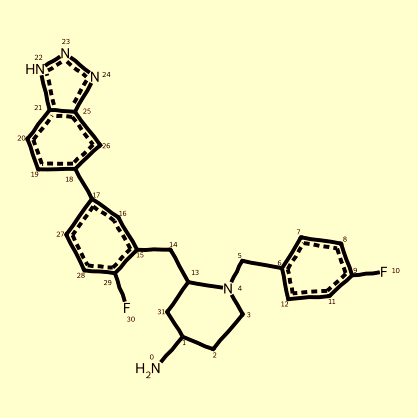 NC1CCN(Cc2ccc(F)cc2)C(Cc2cc(-c3ccc4[nH]nnc4c3)ccc2F)C1